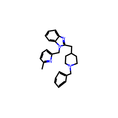 Cc1cccc(Cn2c(CC3CCN(Cc4ccccc4)CC3)nc3ccccc32)n1